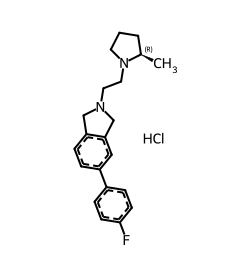 C[C@@H]1CCCN1CCN1Cc2ccc(-c3ccc(F)cc3)cc2C1.Cl